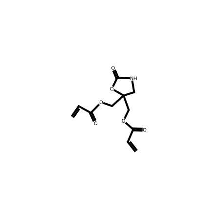 C=CC(=O)OCC1(COC(=O)C=C)CNC(=O)O1